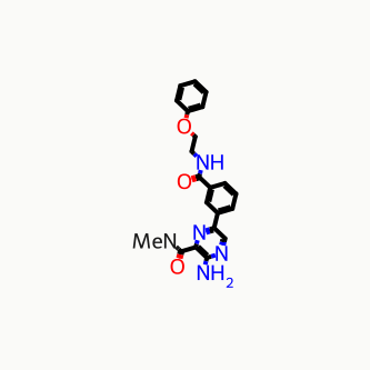 CNC(=O)c1nc(-c2cccc(C(=O)NCCOc3ccccc3)c2)cnc1N